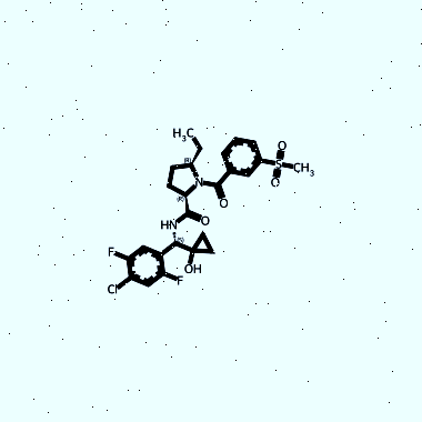 CC[C@@H]1CC[C@H](C(=O)N[C@@H](c2cc(F)c(Cl)cc2F)C2(O)CC2)N1C(=O)c1cccc(S(C)(=O)=O)c1